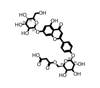 O=C(O)CC(=O)OC[C@H]1O[C@@H](Oc2ccc(-c3cc(=O)c4c(O)cc(O[C@@H]5OC(CO)[C@@H](O)[C@H](O)C5O)cc4o3)cc2)[C@H](O)C(O)C1O